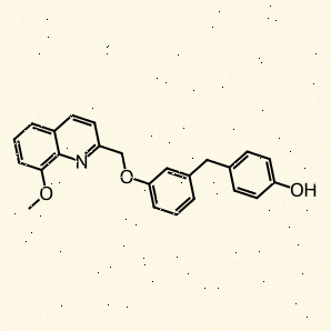 COc1cccc2ccc(COc3cccc(Cc4ccc(O)cc4)c3)nc12